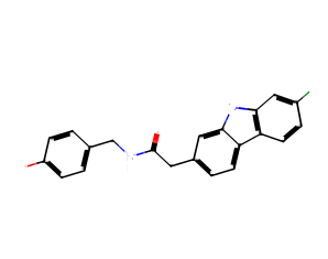 O=C(Cc1ccc2c(c1)[nH]c1cc(Cl)ccc12)NCc1ccc(O)cc1